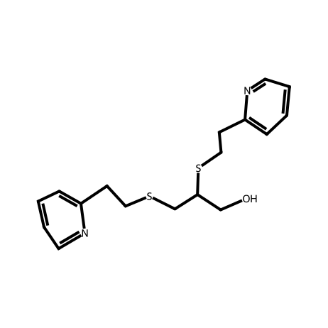 OCC(CSCCc1ccccn1)SCCc1ccccn1